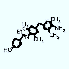 CC/C(=N\c1c(C)cc(Cc2cc(C)c(N)c(C)c2)cc1C)c1ccc(O)cc1